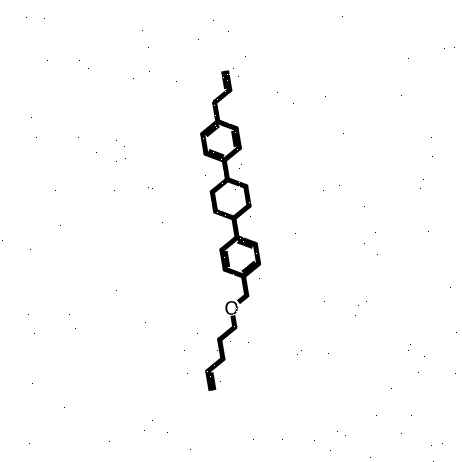 C=CCCCOCc1ccc(C2CCC(c3ccc(CC=C)cc3)CC2)cc1